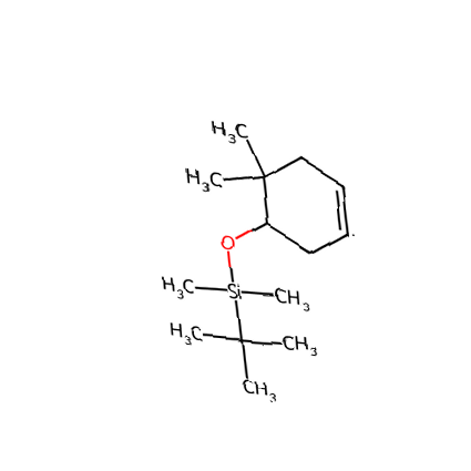 CC1(C)CC=[C]CC1O[Si](C)(C)C(C)(C)C